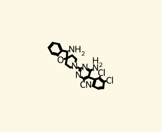 N#Cc1nc(N2CCC3(CC2)Oc2ccccc2[C@@H]3N)nc(N)c1-c1cccc(Cl)c1Cl